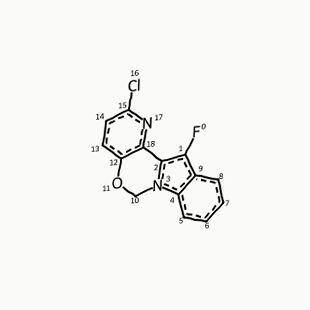 Fc1c2n(c3ccccc13)COc1ccc(Cl)nc1-2